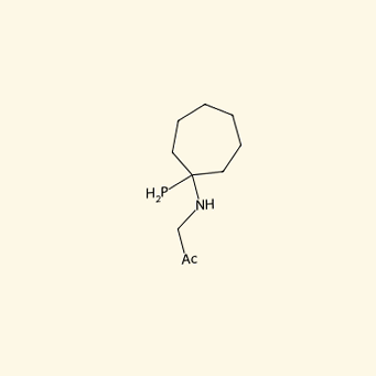 CC(=O)CNC1(P)CCCCCC1